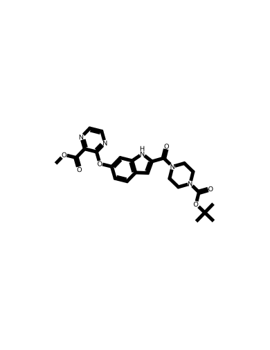 COC(=O)c1nccnc1Oc1ccc2cc(C(=O)N3CCN(C(=O)OC(C)(C)C)CC3)[nH]c2c1